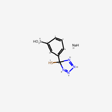 O=S(=O)(O)c1cccc(C2(S)N=NN=N2)c1.[NaH]